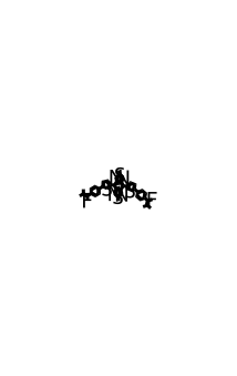 CC(C)=C(F)c1ccc(-c2ccc(-c3c4c(c(-c5ccc(-c6ccc(C(F)=C(C)C)cc6)s5)c5nsnc35)N=S=N4)s2)cc1